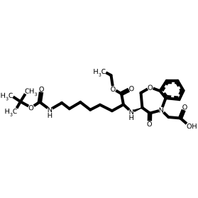 CCOC(=O)C(CCCCCCNC(=O)OC(C)(C)C)N[C@H]1COc2ccccc2N(CC(=O)O)C1=O